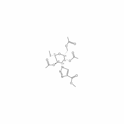 COC(=O)c1cn([C@H]2[C@@H](OC(C)=O)[C@@H](COC(C)=O)O[C@@H](SC)[C@@H]2OC(C)=O)nn1